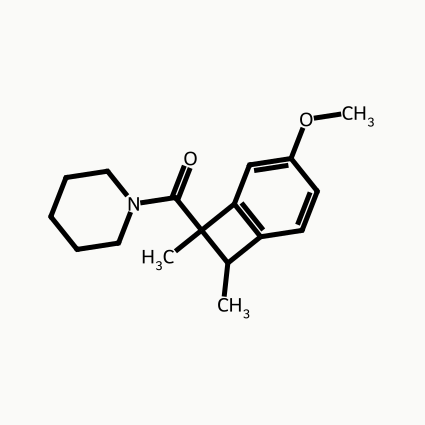 COc1ccc2c(c1)C(C)(C(=O)N1CCCCC1)C2C